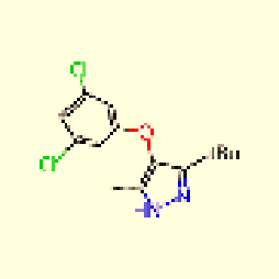 Cc1[nH]nc(C(C)(C)C)c1Oc1cc(Cl)cc(Cl)c1